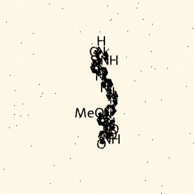 COc1ccc2c(c1N1CCC(CN3CCN(c4ccc(-c5ccc6c(ccc7sc8c(c76)NC[C@@H](C)NC8=O)n5)cn4)CC3)CC1)n(C)c(=O)n2C1CCC(=O)NC1=O